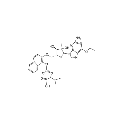 CCOc1nc(N)nc2c1ncn2C1O[C@H](COc2ccc3ccccc3c2O/[P+]([O-])=N/C(C(=O)O)C(C)C)[C@@H](O)[C@@]1(C)O